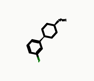 CCCCC[C@H]1CC[C@H](c2cccc(F)c2)CC1